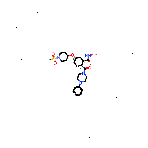 CS(=O)(=O)N1CCC(O[C@@H]2CC[C@H](C(=O)N3CCN(c4ccccc4)CC3)[C@@H](C(=O)NO)C2)CC1